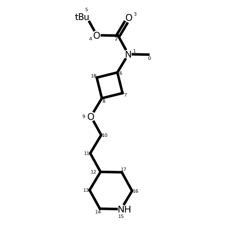 CN(C(=O)OC(C)(C)C)C1CC(OCCC2CCNCC2)C1